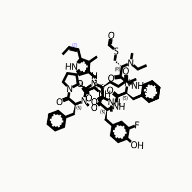 C/C=C\c1[nH]cc(C[C@H](NC(=O)[C@H](Cc2ccc(O)c(F)c2)NC(=O)[C@H](Cc2ccccc2)N(C)C(=O)[C@H](CSC=O)N(C)CC)C(=O)N(C)[C@@H](Cc2ccccc2)C(=O)N2CCC[C@H]2C(=O)N[C@@H](CCC(N)=O)C(=O)NC)c1C